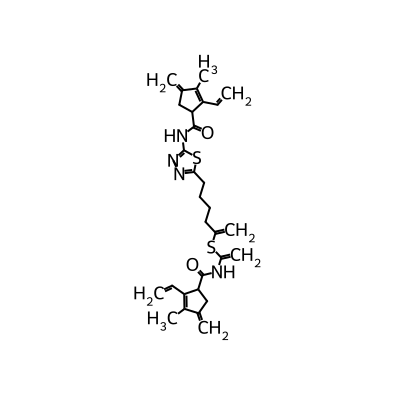 C=CC1=C(C)C(=C)CC1C(=O)NC(=C)SC(=C)CCCCc1nnc(NC(=O)C2CC(=C)C(C)=C2C=C)s1